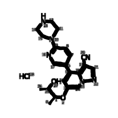 C[C@H](Oc1cc(-c2ccc(N3CCNCC3)nc2)c2c(C#N)cnn2c1)[C@@H](C)O.Cl